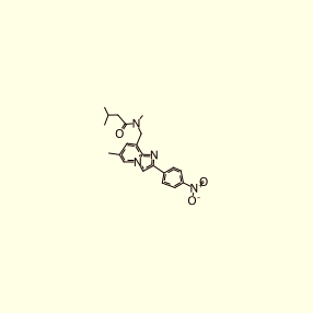 Cc1cc(CN(C)C(=O)CC(C)C)c2nc(-c3ccc([N+](=O)[O-])cc3)cn2c1